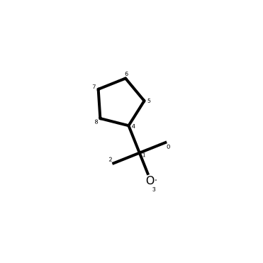 CC(C)([O])C1CCCC1